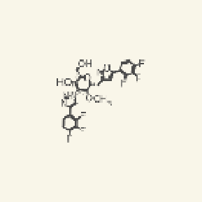 CO[C@@H]1[C@@H](n2cc(-c3ccc(F)c(F)c3F)nn2)[C@@H](O)[C@@H](CO)O[C@@H]1Cc1cc(-c2ccc(F)c(F)c2F)on1